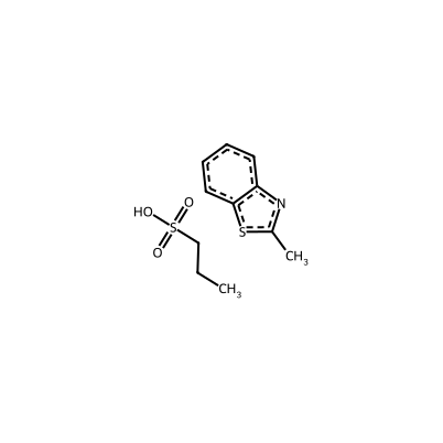 CCCS(=O)(=O)O.Cc1nc2ccccc2s1